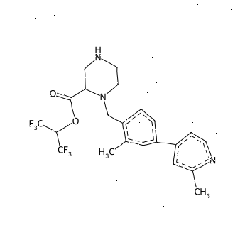 Cc1cc(-c2ccc(CN3CCNCC3C(=O)OC(C(F)(F)F)C(F)(F)F)c(C)c2)ccn1